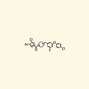 CC(=O)c1nn(C(=O)N2CCN(Cc3cc(F)cc(Oc4ccc(Cl)cc4)c3)CC2)cc1Cl